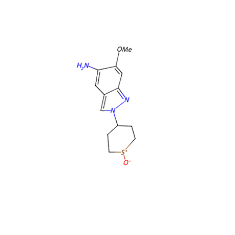 COc1cc2nn(C3CC[S+]([O-])CC3)cc2cc1N